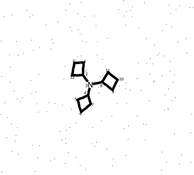 C1CC(N(C2CCC2)C2CCC2)C1